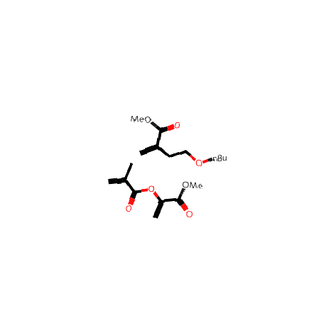 C=C(C)C(=O)OC(=C)C(=O)OC.C=C(CCOCCCC)C(=O)OC